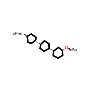 CCCCC[C@H]1CC[C@H](C2CCC([C@H]3CCC[C@@H](OCCCC)C3)CC2)CC1